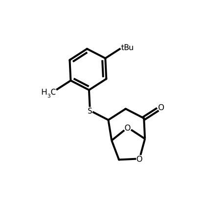 Cc1ccc(C(C)(C)C)cc1SC1CC(=O)C2OCC1O2